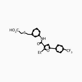 CCc1oc(-c2ccc(C(F)(F)F)cc2)cc1C(=O)Nc1cccc(CSCC(=O)O)c1